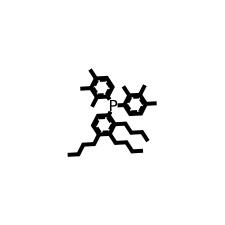 CCCCc1ccc(P(c2ccc(C)c(C)c2C)c2ccc(C)c(C)c2C)c(CCCC)c1CCCC